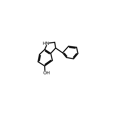 Oc1ccc2c(c1)C(c1ccccc1)CN2